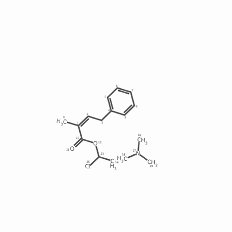 CC(=CCc1ccccc1)C(=O)OC(C)Cl.CN(C)C